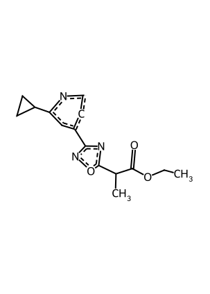 CCOC(=O)C(C)c1nc(-c2ccnc(C3CC3)c2)no1